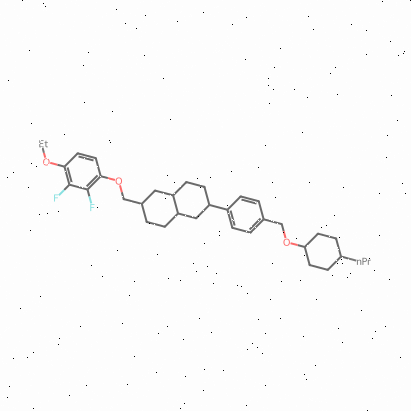 CCCC1CCC(OCc2ccc(C3CCC4CC(COc5ccc(OCC)c(F)c5F)CCC4C3)cc2)CC1